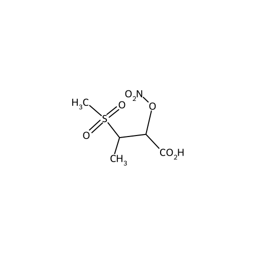 CC(C(O[N+](=O)[O-])C(=O)O)S(C)(=O)=O